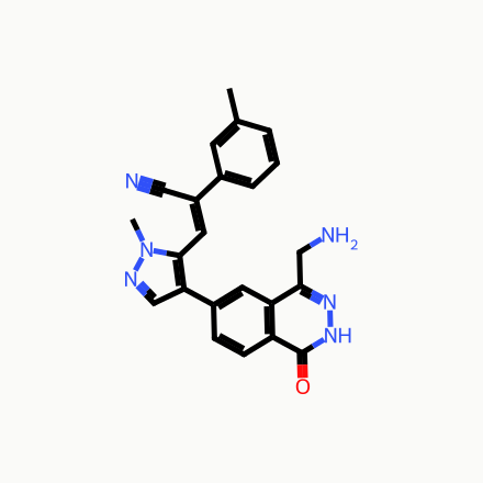 Cc1cccc(/C(C#N)=C/c2c(-c3ccc4c(=O)[nH]nc(CN)c4c3)cnn2C)c1